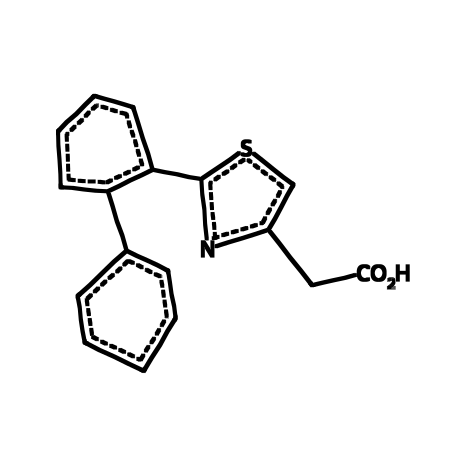 O=C(O)Cc1csc(-c2ccccc2-c2ccccc2)n1